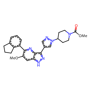 COC(=O)N1CCC(n2cc(-c3n[nH]c4cc(OC)c(-c5cccc6c5CCC6)nc34)cn2)CC1